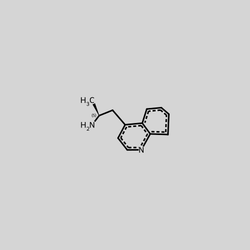 C[C@H](N)Cc1ccnc2ccccc12